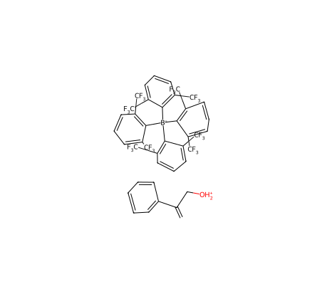 C=C(C[OH2+])c1ccccc1.FC(F)(F)c1cccc(C(F)(F)F)c1[B-](c1c(C(F)(F)F)cccc1C(F)(F)F)(c1c(C(F)(F)F)cccc1C(F)(F)F)c1c(C(F)(F)F)cccc1C(F)(F)F